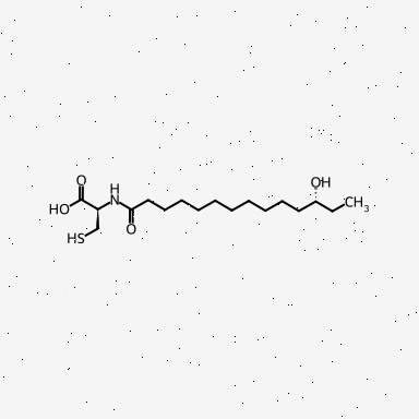 CC[C@@H](O)CCCCCCCCCCC(=O)N[C@@H](CS)C(=O)O